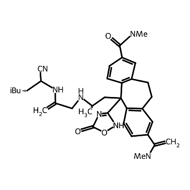 C=C(CN[C@H](C)CC1(c2nc(=O)o[nH]2)c2ccc(C(=C)NC)cc2CCc2cc(C(=O)NC)ccc21)NC(C#N)C[C@@H](C)CC